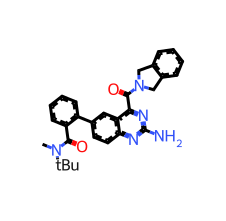 CN(C(=O)c1ccccc1-c1ccc2nc(N)nc(C(=O)N3Cc4ccccc4C3)c2c1)C(C)(C)C